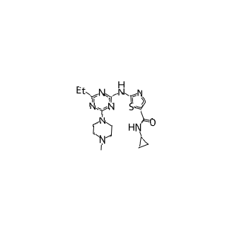 CCc1nc(Nc2ncc(C(=O)NC3CC3)s2)nc(N2CCN(C)CC2)n1